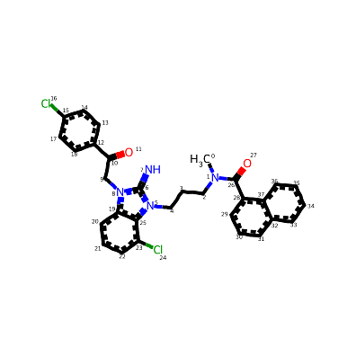 CN(CCCn1c(=N)n(CC(=O)c2ccc(Cl)cc2)c2cccc(Cl)c21)C(=O)c1cccc2ccccc12